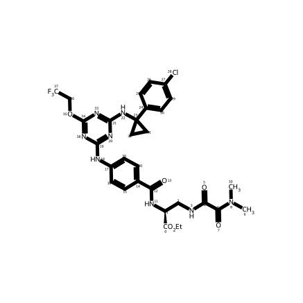 CCOC(=O)[C@H](CNC(=O)C(=O)N(C)C)NC(=O)c1ccc(Nc2nc(NC3(c4ccc(Cl)cc4)CC3)nc(OCC(F)(F)F)n2)cc1